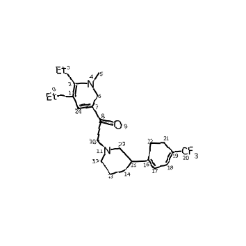 CCC1=C(CC)N(C)CC(C(=O)CN2CCCC(C3=CC=C(C(F)(F)F)CC3)C2)=C1